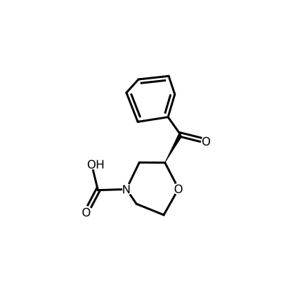 O=C(c1ccccc1)[C@@H]1CN(C(=O)O)CCO1